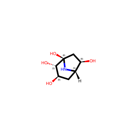 O[C@@H]1C[C@]2(O)N[C@H]1C[C@@H](O)[C@@H]2O